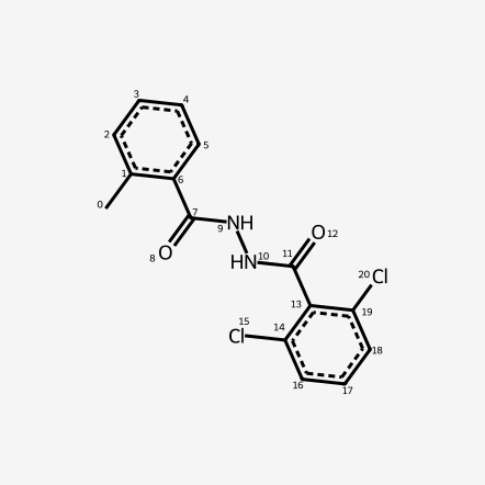 Cc1ccccc1C(=O)NNC(=O)c1c(Cl)cccc1Cl